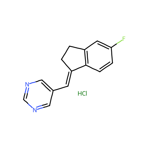 Cl.Fc1ccc2c(c1)CC/C2=C\c1cncnc1